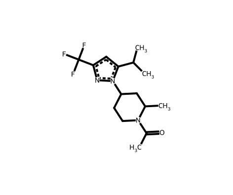 CC(=O)N1CCC(n2nc(C(F)(F)F)cc2C(C)C)CC1C